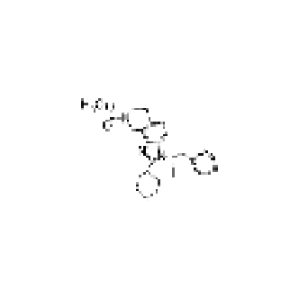 COC(=O)N1CCc2ccc3c(nc(C4CCCCC4)n3[C@@H](I)Cc3ccccc3)c2C1